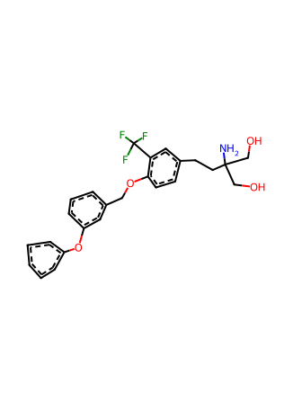 NC(CO)(CO)CCc1ccc(OCc2cccc(Oc3ccccc3)c2)c(C(F)(F)F)c1